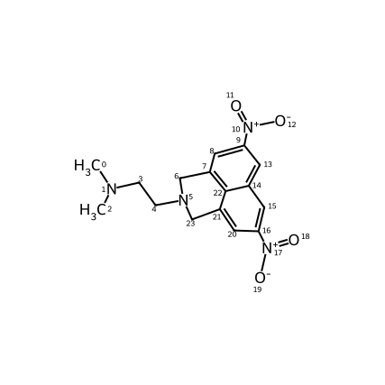 CN(C)CCN1Cc2cc([N+](=O)[O-])cc3cc([N+](=O)[O-])cc(c23)C1